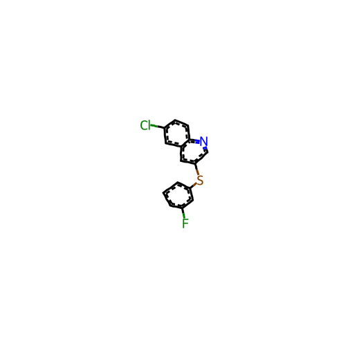 Fc1cccc(Sc2cnc3ccc(Cl)cc3c2)c1